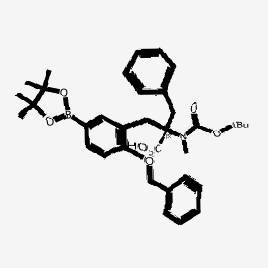 CN(C(=O)OC(C)(C)C)[C@@](Cc1ccccc1)(Cc1cc(B2OC(C)(C)C(C)(C)O2)ccc1OCc1ccccc1)C(=O)O